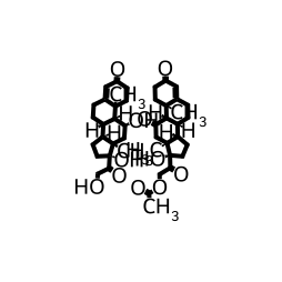 CC(=O)OCC(=O)[C@@]1(O)CC[C@H]2[C@@H]3CCC4=CC(=O)CC[C@]4(C)[C@H]3C(=O)C[C@@]21C.C[C@]12CCC(=O)C=C1CC[C@@H]1[C@@H]2[C@@H](O)C[C@@]2(C)[C@H]1CC[C@]2(O)C(=O)CO